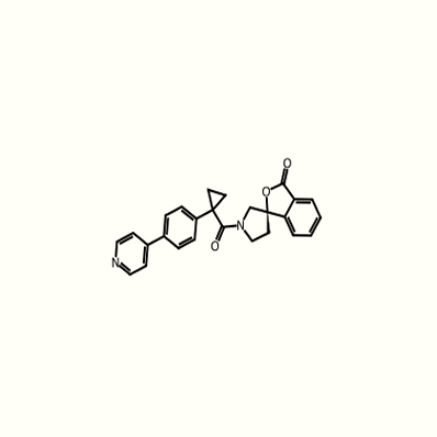 O=C1O[C@]2(CCN(C(=O)C3(c4ccc(-c5ccncc5)cc4)CC3)C2)c2ccccc21